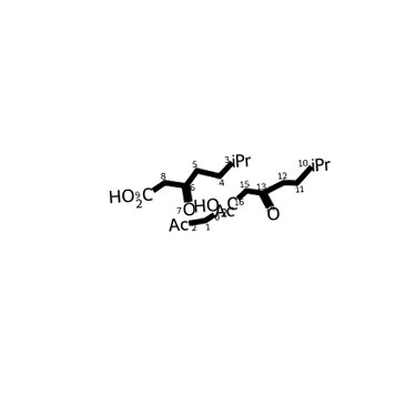 CC(=O)CC(C)=O.CC(C)CCC(=O)CC(=O)O.CC(C)CCC(=O)CC(=O)O